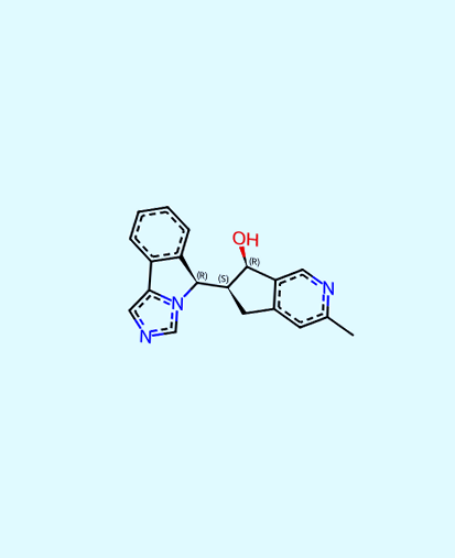 Cc1cc2c(cn1)[C@H](O)[C@H]([C@@H]1c3ccccc3-c3cncn31)C2